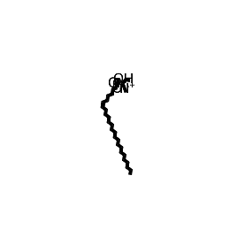 CCCCCCCCCCCCCCCCCC/C=C\CCCCOP(=O)(O)C(CC)[N+](C)(C)C